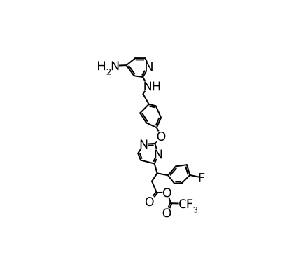 Nc1ccnc(NCc2ccc(Oc3nccc(C(CC(=O)OC(=O)C(F)(F)F)c4ccc(F)cc4)n3)cc2)c1